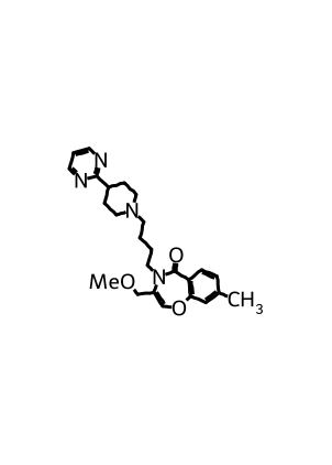 COCC1=COc2cc(C)ccc2C(=O)N1CCCCN1CCC(c2ncccn2)CC1